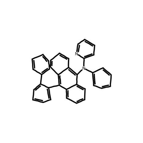 c1ccc(-c2ccccc2-c2c3ccccc3c(N(c3ccccc3)c3ccccn3)c3ccccc23)cc1